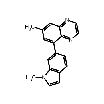 Cc1cc(-c2ccc3ccn(C)c3c2)c2nccnc2c1